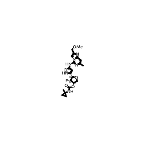 COCc1cn2c(Nc3cc([C@@H]4OC[C@H](OC(=O)NC5(C)CC5)[C@@H]4F)[nH]n3)nc(C)cc2n1